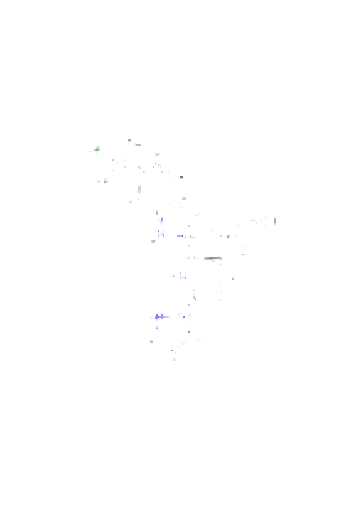 CCS(=O)(=O)c1ccc(-n2cncn2)nc1-n1cc2cnc(C(F)(F)F)cc2n1